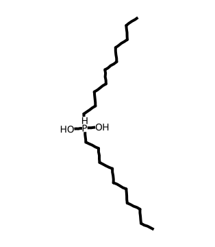 CCCCCCCCCC[PH](O)(O)CCCCCCCCCC